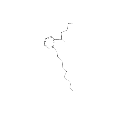 CCCCCCCCCc1ccccc1C(O)CCCCl